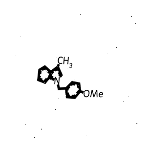 COc1ccc(Cn2cc(C)c3ccccc32)cc1